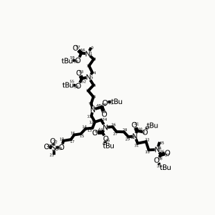 CN(CCCN(CCCCN(CC(CCCCCCOS(C)(=O)=O)CN(CCCCN(CCCN(C)C(=O)OC(C)(C)C)C(=O)OC(C)(C)C)C(=O)OC(C)(C)C)C(=O)OC(C)(C)C)C(=O)OC(C)(C)C)C(=O)OC(C)(C)C